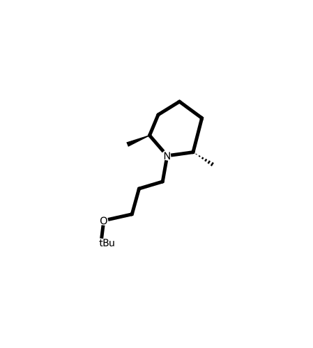 C[C@H]1CCC[C@H](C)N1CCCOC(C)(C)C